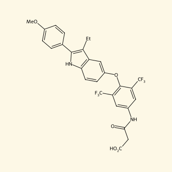 CCc1c(-c2ccc(OC)cc2)[nH]c2ccc(Oc3c(C(F)(F)F)cc(NC(=O)CC(=O)O)cc3C(F)(F)F)cc12